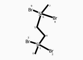 C[Si](Br)(Br)CC[Si](C)(Br)Br